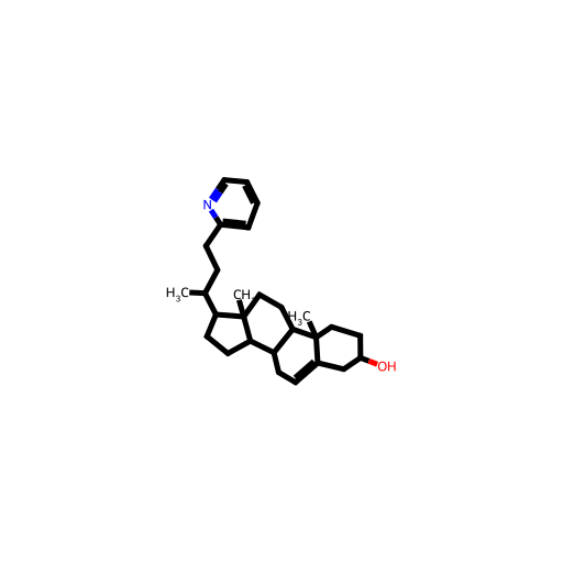 CC(CCc1ccccn1)C1CCC2C3CC=C4CC(O)CCC4(C)C3CCC12C